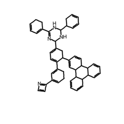 C1=CCCC(C2=NC(C3=CC=C(C4=CC(C5=NC=C5)=CCC4)C(C4=CC5C6C=CC=CC6C6C=CC=CC6C5C=C4)C3)NC(C3C=CC=CC3)N2)=C1